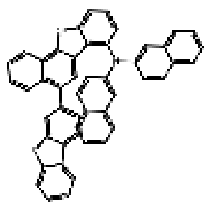 c1ccc2cc(N(c3ccc4ccccc4c3)c3cccc4oc5c6ccccc6c(-c6ccc7c(c6)sc6ccccc67)cc5c34)ccc2c1